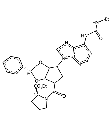 CCNC(=O)Nc1ncnc2c1ncn2C1CC(C(=O)N2CCC[C@H]2C(=O)OCC)C2O[C@H](c3ccccc3)OC21